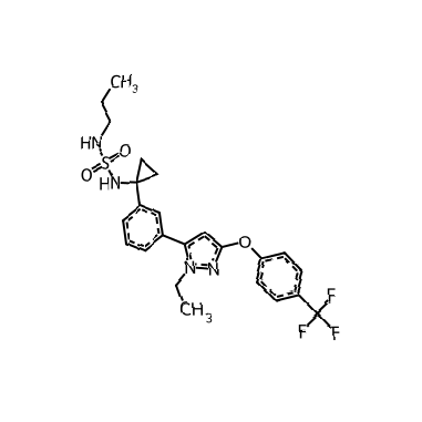 CCCNS(=O)(=O)NC1(c2cccc(-c3cc(Oc4ccc(C(F)(F)F)cc4)nn3CC)c2)CC1